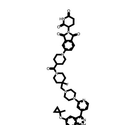 CC1(Oc2ccc3[nH]nc(-c4ccnc(N5CCN(CC6(F)CCN(C(=O)C7CCN(c8ccc9c(c8)C(=O)N(C8CCC(=O)NC8=O)C9=O)CC7)CC6)CC5)c4)c3c2)CC1